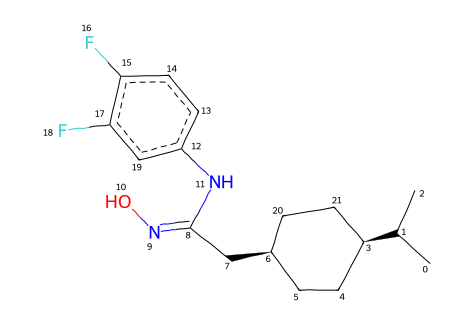 CC(C)[C@H]1CC[C@@H](C/C(=N/O)Nc2ccc(F)c(F)c2)CC1